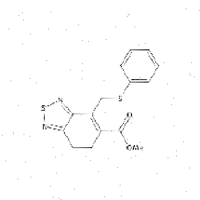 COC(=O)c1ccc2nsnc2c1CSc1ccccc1